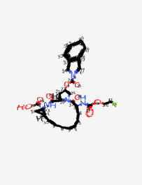 O=C(N[C@H]1CCCCCC=C[C@@H]2C[C@@]2(C(=O)O)NC(=O)[C@@H]2C[C@@H](OC(=O)N3Cc4ccccc4C3)CN2C1=O)OCCF